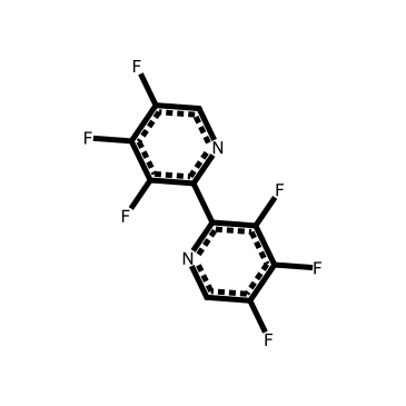 Fc1cnc(-c2ncc(F)c(F)c2F)c(F)c1F